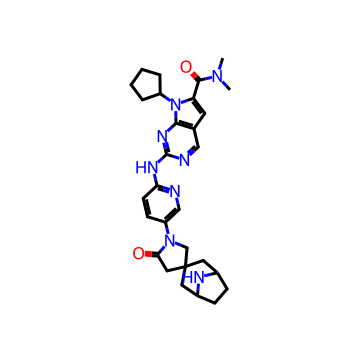 CN(C)C(=O)c1cc2cnc(Nc3ccc(N4CC5(CC4=O)CC4CCC(C5)N4)cn3)nc2n1C1CCCC1